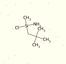 CC(C)(C)C[Si](C)(N)Cl